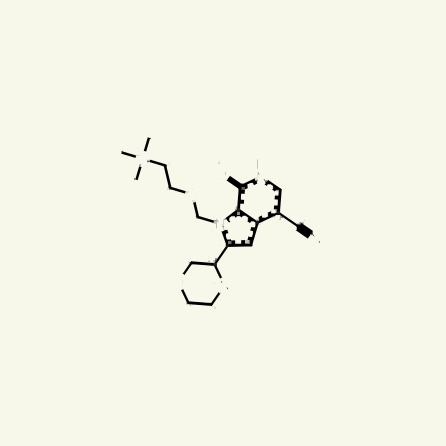 C[Si](C)(C)CCOCn1c(C2COCCN2)cc2c(C#N)c[nH]c(=O)c21